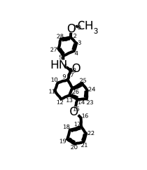 COc1ccc(NC(=O)C2CCCc3c(OCc4ccccc4)cccc32)cc1